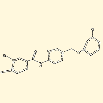 CCn1cc(C(=O)Nc2ccc(COc3cccc(Cl)c3)cn2)ccc1=O